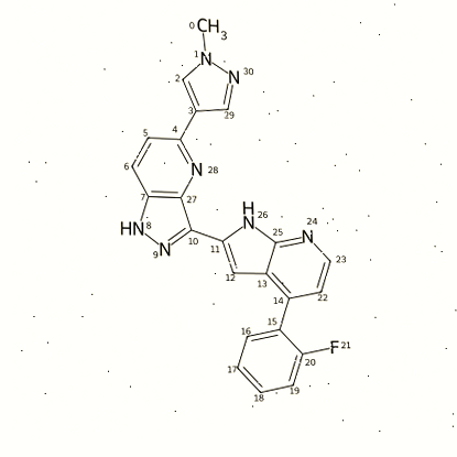 Cn1cc(-c2ccc3[nH]nc(-c4cc5c(-c6ccccc6F)ccnc5[nH]4)c3n2)cn1